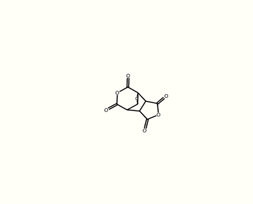 O=C1OC(=O)C23CC2C1C1C(=O)OC(=O)C13